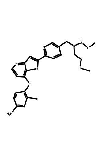 COBN(CCOC)Cc1ccc(-c2cc3nccc(Oc4ccc(N)cc4F)c3s2)nc1